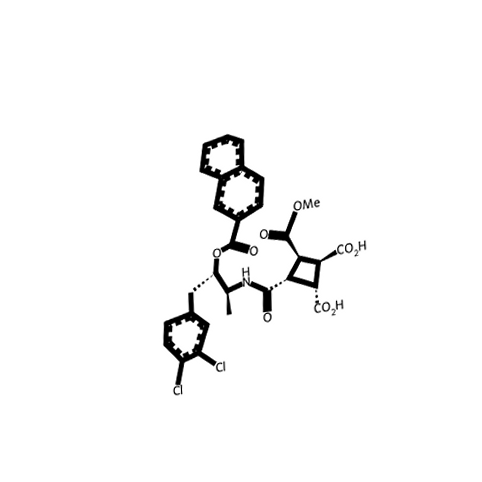 COC(=O)[C@H]1[C@@H](C(=O)O)[C@H](C(=O)O)[C@@H]1C(=O)N[C@@H](C)[C@H](Cc1ccc(Cl)c(Cl)c1)OC(=O)c1ccc2ccccc2c1